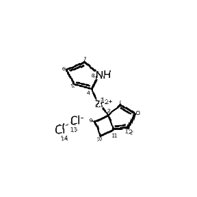 C1=C[C]2([Zr+2][c]3ccc[nH]3)CCC2=C1.[Cl-].[Cl-]